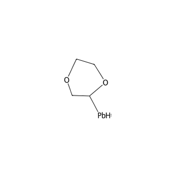 [PbH][CH]1COCCO1